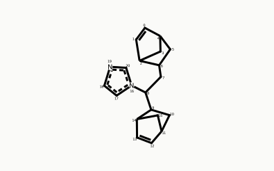 C1=CC2CC1CC2CC(C1CC2C=CC1C2)n1ccnc1